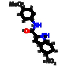 COc1ccc(NC(=O)c2cc3cc([N+](=O)[O-])ccc3[nH]2)cc1